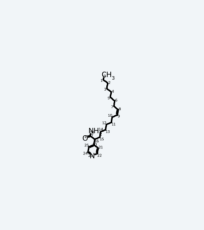 CCCCCCCC/C=C\CCCCCCC(C(N)=O)c1ccncc1